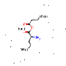 CCCCCCCCCCCC(=O)OC(=O)C(N)CCSC.[NaH]